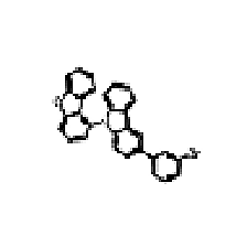 Brc1cccc(-c2ccc3c(c2)c2ccccc2n3-c2cccc3oc4ccccc4c23)c1